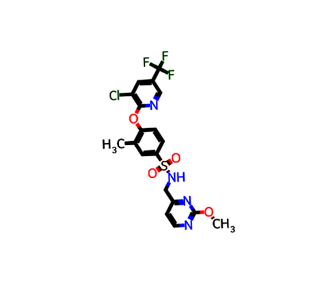 COc1nccc(CNS(=O)(=O)c2ccc(Oc3ncc(C(F)(F)F)cc3Cl)c(C)c2)n1